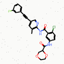 Cc1cc(C#Cc2cccc(F)c2)cnc1NC(=O)c1cc(NC(=O)C2COCCO2)ccc1Cl